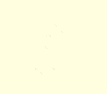 Cc1nc(Nc2nc3c(s2)CCN(C)c2n[nH]cc2-3)ns1